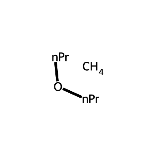 C.CCCOCCC